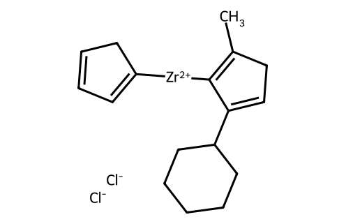 CC1=[C]([Zr+2][C]2=CC=CC2)C(C2CCCCC2)=CC1.[Cl-].[Cl-]